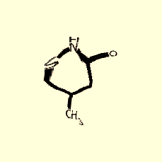 CC1CSNC(=O)C1